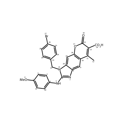 COc1ccc(Nc2nc3cc4c(C)c(C(=O)O)c(=O)oc4cc3n2Cc2ccc(Br)cc2)cc1